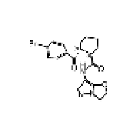 O=C(Nc1cnn2c1OCC2)[C@@H]1CCCC[C@H]1C(=O)c1ccc(Br)cc1